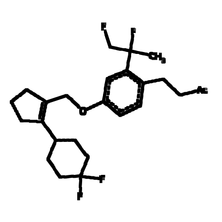 CC(=O)CCc1ccc(OCC2=C(C3CCC(F)(F)CC3)CCC2)cc1C(C)(F)CF